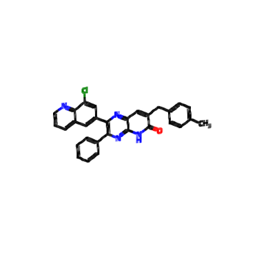 Cc1ccc(Cc2cc3nc(-c4cc(Cl)c5ncccc5c4)c(-c4ccccc4)nc3[nH]c2=O)cc1